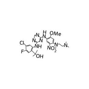 COc1cc(N(C)CCN(C)C)c([N+](=O)[O-])cc1Nc1ncnc(Nc2cc(Cl)c(F)cc2C(C)(C)O)n1